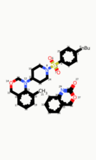 CCCCc1ccc(S(=O)(=O)N2CCC(N3COCc4cccc(C)c43)CC2)cc1.O=c1nc2ccccc2co1